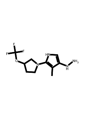 Cc1c(NN)c[nH]c1N1CCC(OC(F)(F)F)C1